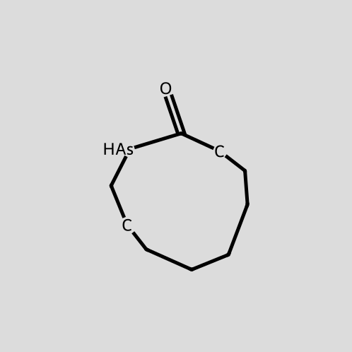 O=C1CCCCCCCC[AsH]1